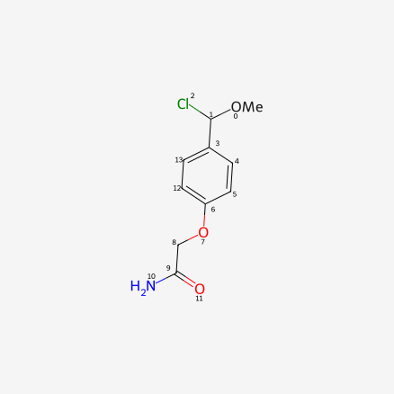 COC(Cl)c1ccc(OCC(N)=O)cc1